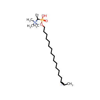 C/C=C\CCCCCCCCCCCCCCCOP(=O)(O)C(CC)[N+](C)(C)C